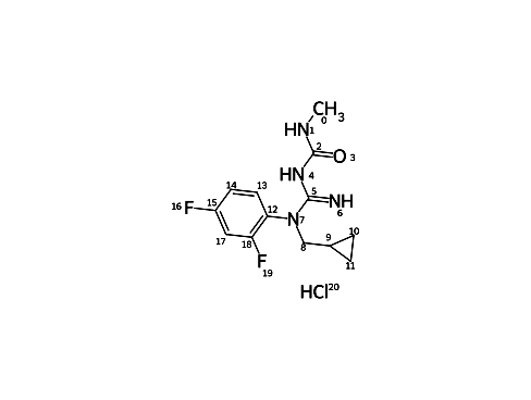 CNC(=O)NC(=N)N(CC1CC1)c1ccc(F)cc1F.Cl